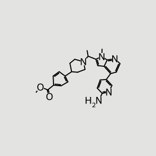 COC(=O)c1ccc(C2CCN(C(C)c3cc4c(-c5ccc(N)nc5)ccnc4n3C)CC2)cc1